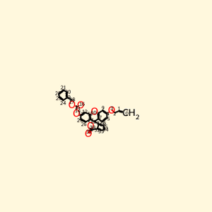 C=CCOc1ccc2c(c1)Oc1cc(OC(=O)OCc3ccccc3)ccc1C21OC(=O)c2ccccc21